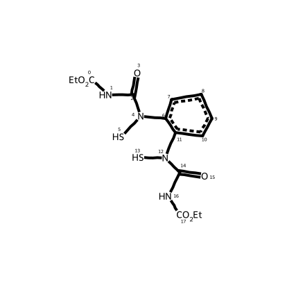 CCOC(=O)NC(=O)N(S)c1ccccc1N(S)C(=O)NC(=O)OCC